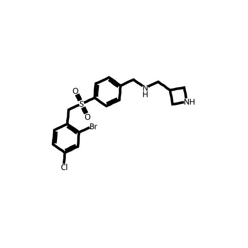 O=S(=O)(Cc1ccc(Cl)cc1Br)c1ccc(CNCC2CNC2)cc1